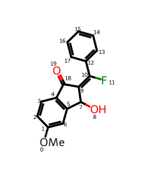 COc1ccc2c(c1)C(O)C(=C(F)c1ccccc1)C2=O